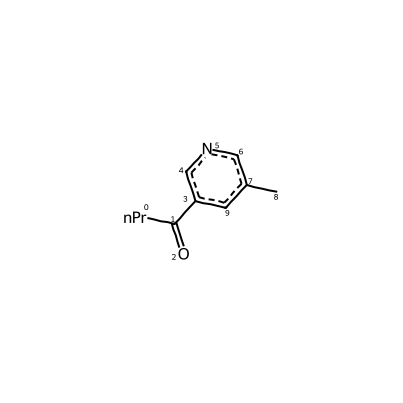 CCCC(=O)c1cncc(C)c1